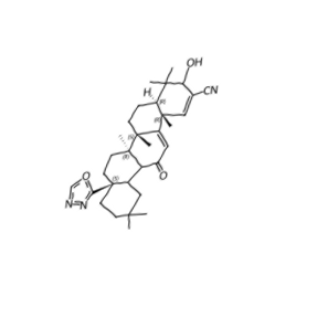 CC1(C)CC[C@]2(c3nnco3)CC[C@]3(C)C(C(=O)C=C4[C@@]5(C)C=C(C#N)C(O)C(C)(C)[C@@H]5CC[C@]43C)C2C1